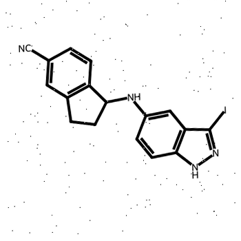 N#Cc1ccc2c(c1)CCC2Nc1ccc2[nH]nc(I)c2c1